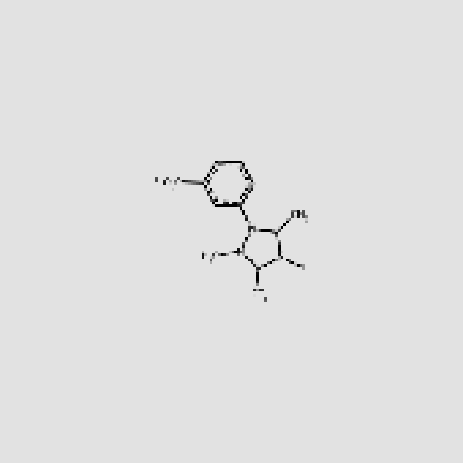 CCOC(=O)c1cccc(N2C(C)N(F)C(C(F)(F)F)N2C)c1